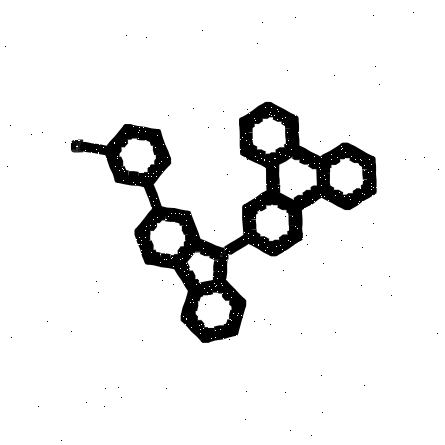 Clc1cccc(-c2ccc3c4ccccc4n(-c4ccc5c6ccccc6c6ccccc6c5c4)c3c2)c1